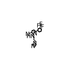 N#Cc1ccc(-c2cccc(C(F)(F)F)c2)nc1NCCCn1ccnc1